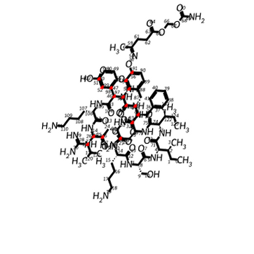 CC[C@H](C)[C@H](NC(=O)[C@H](CO)NC(=O)[C@H](CCCCN)NC(=O)[C@H](CCCNC(=N)N)NC(=O)[C@H](Cc1ccccc1)NC(=O)[C@H](Cc1ccccc1)NC(=O)CO/N=C(\C)CCC(=O)OCOC(N)=O)C(=O)N[C@H](C(=O)N[C@@H](CC(N)=O)C(=O)N[C@@H](Cc1ccccc1)C(=O)N[C@@H](CCC(=O)O)C(=O)N[C@@H](CCCCN)C(=O)N[C@H](C=O)CC(C)C)[C@@H](C)CC